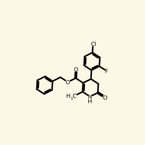 CC1=C(C(=O)OCc2ccccc2)C(c2ccc(Cl)cc2F)CC(=O)N1